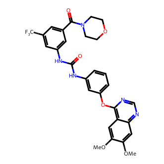 COc1cc2ncnc(Oc3cccc(NC(=O)Nc4cc(C(=O)N5CCOCC5)cc(C(F)(F)F)c4)c3)c2cc1OC